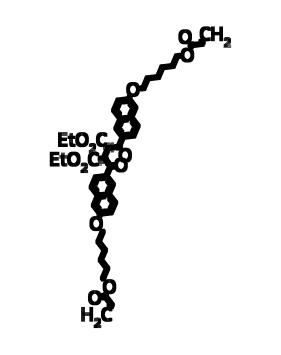 C=CC(=O)OCCCCCCOc1ccc2cc(C(=O)[C@@H](C(=O)OCC)[C@@H](C(=O)OCC)C(=O)c3ccc4cc(OCCCCCCOC(=O)C=C)ccc4c3)ccc2c1